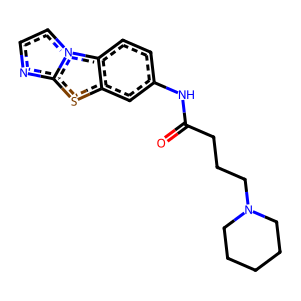 O=C(CCCN1CCCCC1)Nc1ccc2c(c1)sc1nccn12